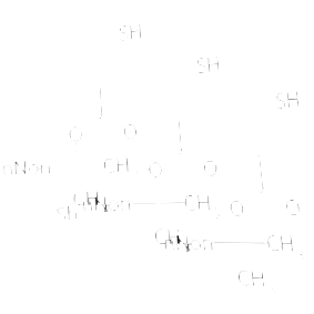 CCCCCCCCCC(C)(C)OC(=O)CCS.CCCCCCCCCC(C)(C)OC(=O)CCS.CCCCCCCCCC(C)(C)OC(=O)CCS.[Sb]